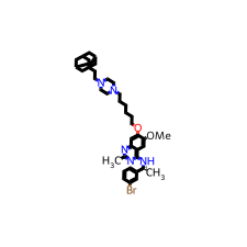 COc1cc2c(N[C@H](C)c3cccc(Br)c3)nc(C)nc2cc1OCCCCCCN1CCN(CCC23CC4CC(CC(C4)C2)C3)CC1